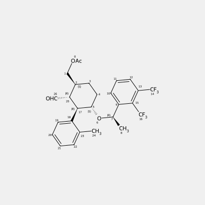 CC(=O)OC[C@H]1CC[C@H](O[C@H](C)c2cccc(C(F)(F)F)c2C(F)(F)F)[C@@H](c2ccccc2C)[C@@H]1C=O